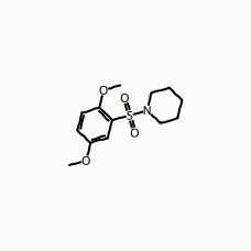 COc1ccc(OC)c(S(=O)(=O)N2CCCCC2)c1